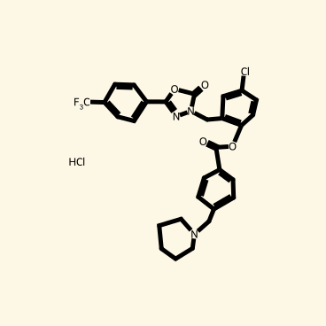 Cl.O=C(Oc1ccc(Cl)cc1Cn1nc(-c2ccc(C(F)(F)F)cc2)oc1=O)c1ccc(CN2CCCCC2)cc1